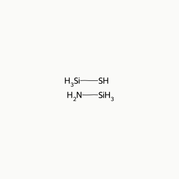 N[SiH3].[SiH3]S